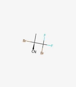 C[C@](Br)(C#N)C(F)(F)Br